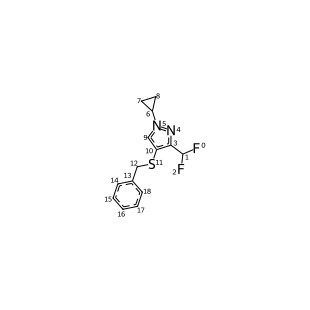 FC(F)c1nn(C2CC2)cc1SCc1ccccc1